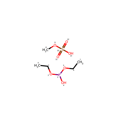 CCOP(O)OCC.COS(=O)(=O)O